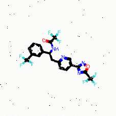 O=C(NC(Cc1ccc(-c2noc(C(F)(F)F)n2)cn1)c1cccc(C(F)(F)F)c1)C(F)(F)F